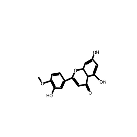 COc1ccc(C2=CC(=O)C3C(O)=CC(O)=CC3O2)cc1O